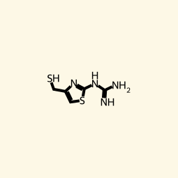 N=C(N)Nc1nc(CS)cs1